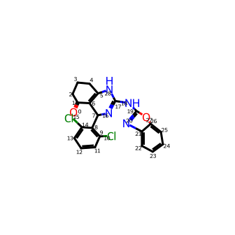 O=C1CCCC2=C1C(c1c(Cl)cccc1Cl)N=C(Nc1nc3ccccc3o1)N2